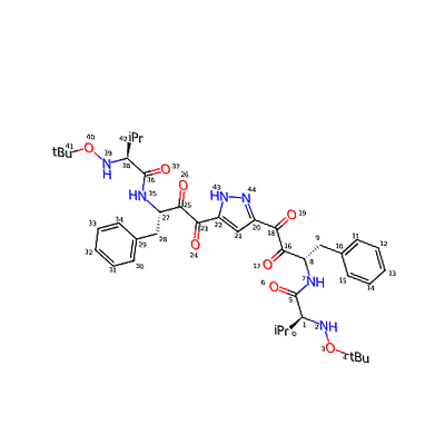 CC(C)[C@H](NOC(C)(C)C)C(=O)N[C@@H](Cc1ccccc1)C(=O)C(=O)c1cc(C(=O)C(=O)[C@H](Cc2ccccc2)NC(=O)[C@@H](NOC(C)(C)C)C(C)C)[nH]n1